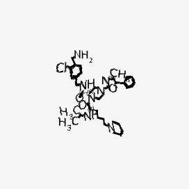 CC(C)N[C@H](CCCCN1CCCCC1)C(=O)N1CCN(C2=N[C@@H](C)C(c3ccccc3)O2)C[C@H]1C(=O)NCc1ccc(CN)c(Cl)c1